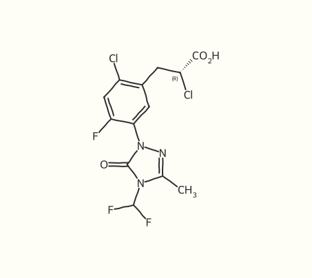 Cc1nn(-c2cc(C[C@@H](Cl)C(=O)O)c(Cl)cc2F)c(=O)n1C(F)F